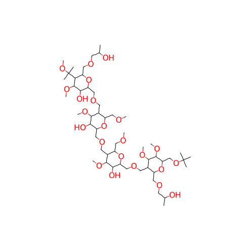 COCC1OC(COCC2C(COCC(C)O)OC(COC(C)(C)C)C(OC)C2OC)C(O)C(OC)C1COCC1OC(COC)C(COCC2OC(COCC(C)O)C(C(C)(C)OC)C(OC)C2O)C(OC)C1O